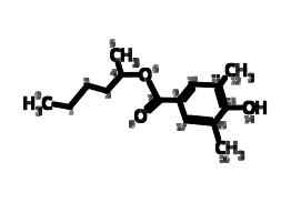 CCCCC(C)OC(=O)c1cc(C)c(O)c(C)c1